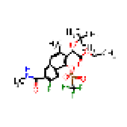 CCOC(=O)[C@@H](OC(C)(C)C)c1c(C)cc2cc(C(=O)NC)c(F)cc2c1OS(=O)(=O)C(F)(F)F